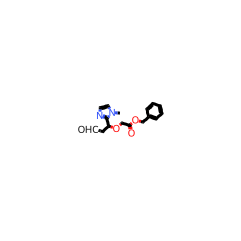 Cn1ccnc1C(CC=O)OCC(=O)OCc1ccccc1